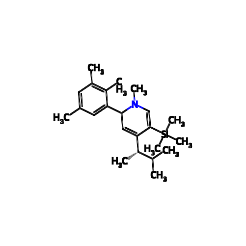 Cc1cc(C)c(C)c(C2C=C([C@@H](C)C(C)C)C([Si](C)(C)C)=CN2C)c1